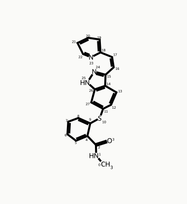 CNC(=O)c1ccccc1Sc1ccc2c(/C=C\c3ccccn3)n[nH]c2c1